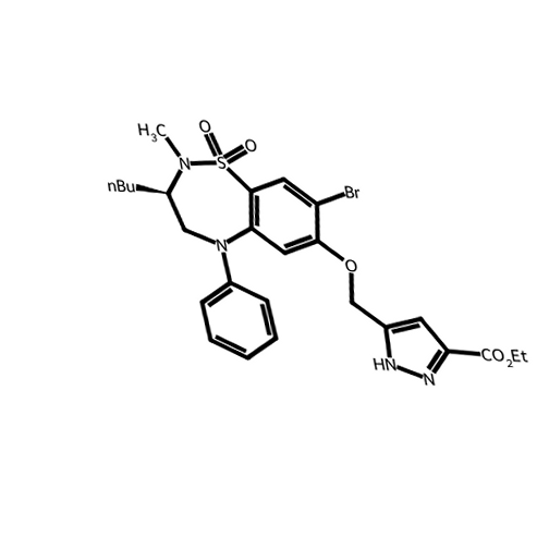 CCCC[C@@H]1CN(c2ccccc2)c2cc(OCc3cc(C(=O)OCC)n[nH]3)c(Br)cc2S(=O)(=O)N1C